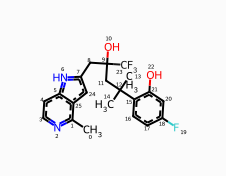 Cc1nccc2[nH]c(CC(O)(CC(C)(C)c3ccc(F)cc3O)C(F)(F)F)cc12